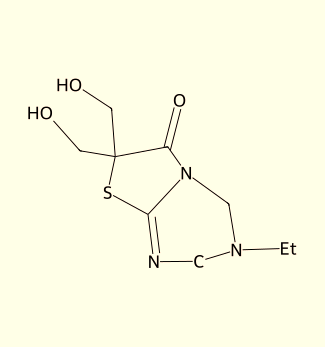 CCN1CN=C2SC(CO)(CO)C(=O)N2C1